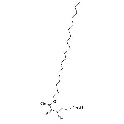 C=C(C(=O)OCCCCCCCCCCCCCCCCCC)C(O)CCCO